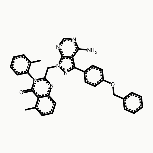 Cc1ccccc1-n1c(Cn2nc(-c3ccc(OCc4ccccc4)cc3)c3c(N)ncnc32)nc2cccc(C)c2c1=O